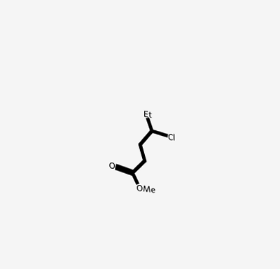 CCC(Cl)CCC(=O)OC